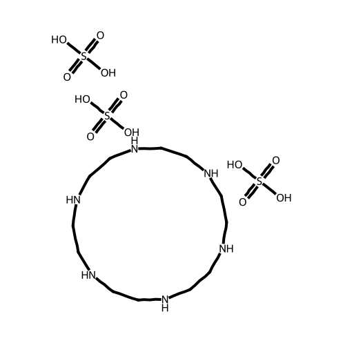 C1CNCCNCCNCCNCCNCCN1.O=S(=O)(O)O.O=S(=O)(O)O.O=S(=O)(O)O